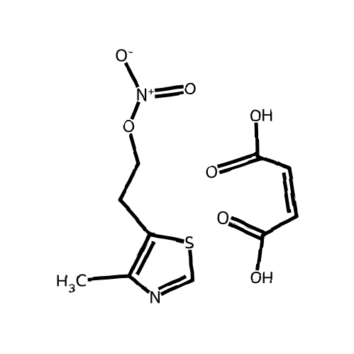 Cc1ncsc1CCO[N+](=O)[O-].O=C(O)/C=C\C(=O)O